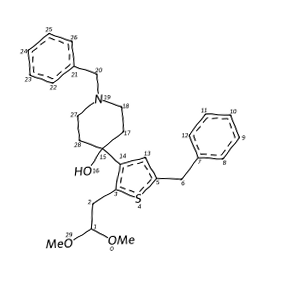 COC(Cc1sc(Cc2ccccc2)cc1C1(O)CCN(Cc2ccccc2)CC1)OC